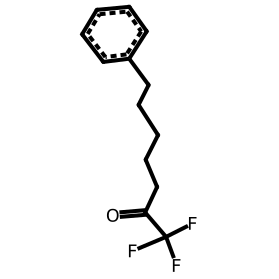 O=C(CCCCCc1ccccc1)C(F)(F)F